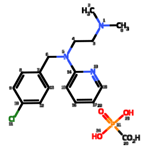 CN(C)CCN(Cc1ccc(Cl)cc1)c1ccccn1.O=C(O)P(=O)(O)O